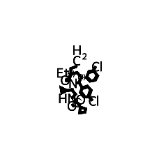 C=CC[C@@]1(CC)C[C@H](c2cccc(Cl)c2)C(c2ccc(Cl)cc2)N(C(CNS(=O)(=O)C2CCC2)C2CC2)C1=O